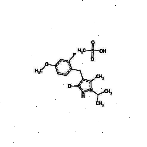 COc1ccc(Cc2c(C)n(C(C)C)[nH]c2=O)c(F)c1.CS(=O)(=O)O